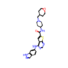 O=C(NC1CCN(CC2CCOCC2)CC1)c1cc2c(Nc3ccc4cn[nH]c4c3)ncnc2s1